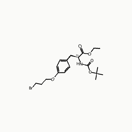 CCOC(=O)[C@H](Cc1ccc(OCCCBr)cc1)NC(=O)OC(C)(C)C